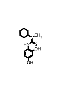 CN(C(=S)Nc1ccc(O)cc1O)C1CCCCC1